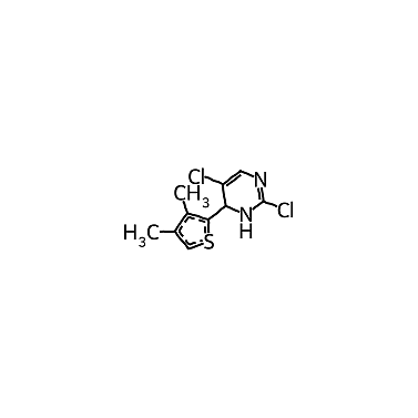 Cc1csc(C2NC(Cl)=NC=C2Cl)c1C